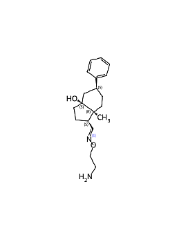 C[C@]12CC[C@H](c3ccccc3)C[C@@]1(O)CC[C@@H]2/C=N/OCCN